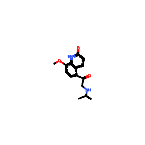 COc1ccc(C(=O)CNC(C)C)c2ccc(=O)[nH]c12